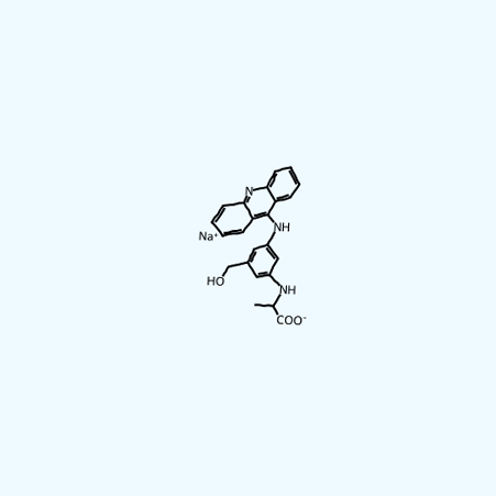 CC(Nc1cc(CO)cc(Nc2c3ccccc3nc3ccccc23)c1)C(=O)[O-].[Na+]